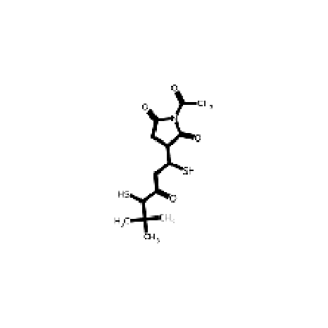 CC(=O)N1C(=O)CC(C(S)CC(=O)C(S)C(C)(C)C)C1=O